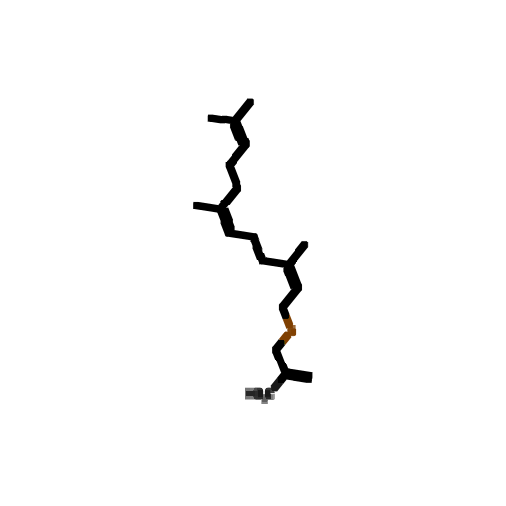 C=C(CSCC=C(C)CCC=C(C)CCC=C(C)C)C(=O)O